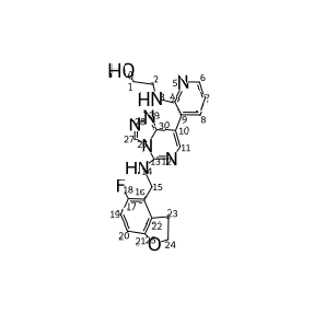 OCCNc1ncccc1-c1cnc(NCc2c(F)ccc3c2CCO3)n2cnnc12